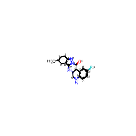 CC1CCc2nn(C(=O)[C@@H]3CCNc4ccc(F)cc43)c(N)c2C1